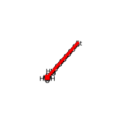 CCOCCOCCOCCOCCOCCOCCOCCOCCOCCOCCOCCNC(=O)CCCC[C@@H]1SC[C@@H]2NC(=O)N[C@@H]21